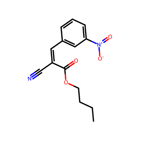 CCCCOC(=O)/C(C#N)=C\c1cccc([N+](=O)[O-])c1